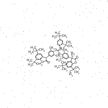 Cc1cc(C2C(=O)Oc3c2cc(C(C)(C)C)cc3C(C)(C)C)cc(C)c1OP(Oc1ccc(C(C)(C)C)cc1C(C)(C)C)Oc1c(C)cc(C2(C)C(=O)Oc3c(C(C)(C)C)cc(C(C)(C)C)cc32)cc1C